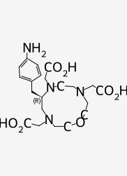 Nc1ccc(C[C@@H]2CN(CC(=O)O)CCOCCN(CC(=O)O)CCN2CC(=O)O)cc1